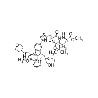 COC(=O)[C@@H]1CCCN(C(=O)[C@H](Cc2nc(-c3ccc4c(c3)c(CC(C)(C)CO)c(-c3cccnc3[C@H](C)OC)n4CCOC3CCOCC3)cs2)NC(=O)OC(C)(C)C)N1